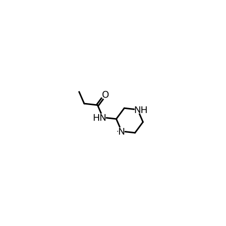 CCC(=O)NC1CNCC[N]1